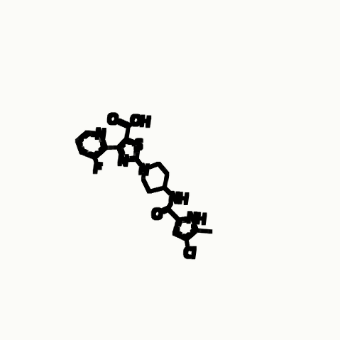 Cc1[nH]c(C(=O)NC2CCN(c3nc(-c4ncccc4F)c(C(=O)O)s3)CC2)cc1Cl